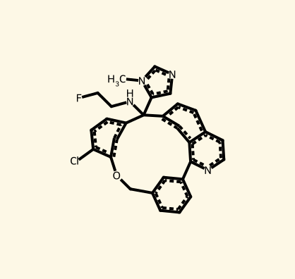 Cn1cncc1C1(NCCF)c2ccc(Cl)c(c2)OCc2cccc(c2)-c2nccc3ccc1cc23